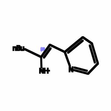 CCCC/C([NH])=C/c1ccccn1